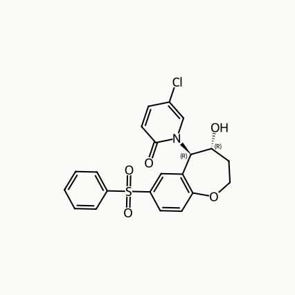 O=c1ccc(Cl)cn1[C@@H]1c2cc(S(=O)(=O)c3ccccc3)ccc2OCC[C@H]1O